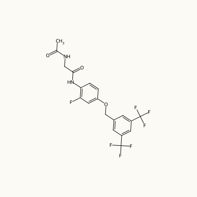 CC(=O)NCC(=O)Nc1ccc(OCc2cc(C(F)(F)F)cc(C(F)(F)F)c2)cc1F